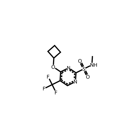 CNS(=O)(=O)c1ncc(C(F)(F)F)c(OC2CCC2)n1